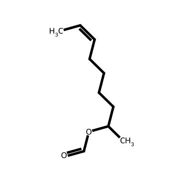 C/C=C\CCCCC(C)OC=O